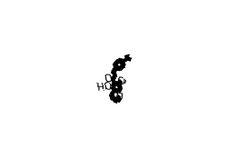 COc1cc2c(c(O)c1C(=O)/C=C/c1ccc(C(C)C)cc1)C=CC(C)(C)O2